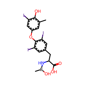 CB(O)NC(Cc1cc(I)c(Oc2cc(C)c(O)c(I)c2)c(I)c1)C(=O)O